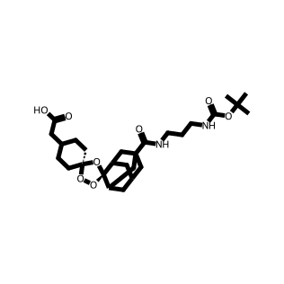 CC(C)(C)OC(=O)NCCCNC(=O)C12CC3CC(C1)[C@]1(OO[C@]4(CCC(CC(=O)O)CC4)O1)C(C3)C2